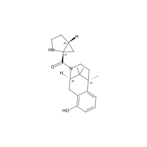 CC1(C)[C@H]2Cc3c(O)cccc3[C@]1(C)CCN2C(=O)[C@]12C[C@H]1CCN2